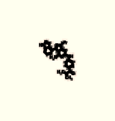 CC(C)n1nc(-c2cccc3[nH]ncc23)c2c(N)nc(Nc3ccc(C(=O)N(C)C)nc3)nc21